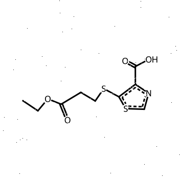 CCOC(=O)CCSc1scnc1C(=O)O